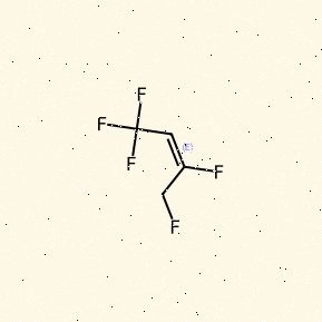 FC/C(F)=C\C(F)(F)F